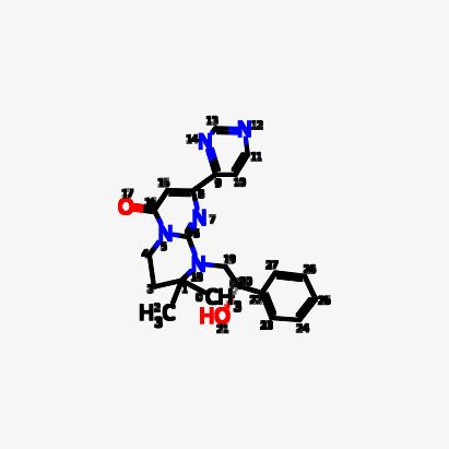 CC1(C)CCn2c(nc(-c3ccncn3)cc2=O)N1C[C@@H](O)c1ccccc1